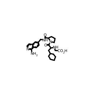 Nc1nccc2cc(CNC(=O)C3CCCN3C(=O)C(CC3CCCCC3)NCC(=O)O)ccc12